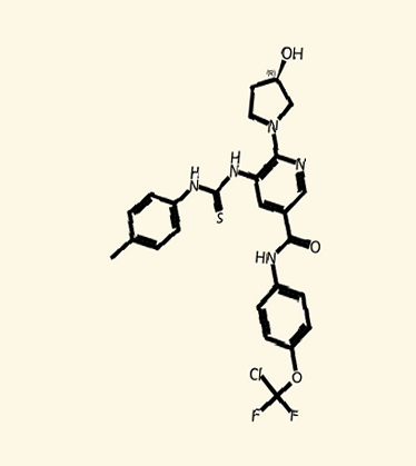 Cc1ccc(NC(=S)Nc2cc(C(=O)Nc3ccc(OC(F)(F)Cl)cc3)cnc2N2CC[C@@H](O)C2)cc1